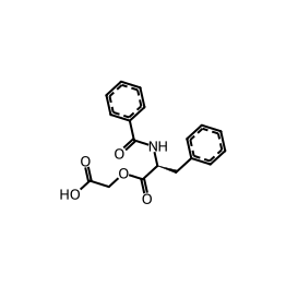 O=C(O)COC(=O)[C@H](Cc1ccccc1)NC(=O)c1ccccc1